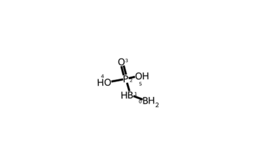 BBP(=O)(O)O